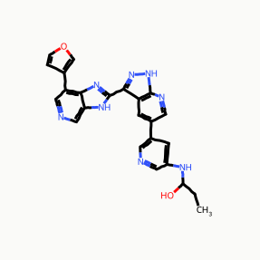 CCC(O)Nc1cncc(-c2cnc3[nH]nc(-c4nc5c(-c6ccoc6)cncc5[nH]4)c3c2)c1